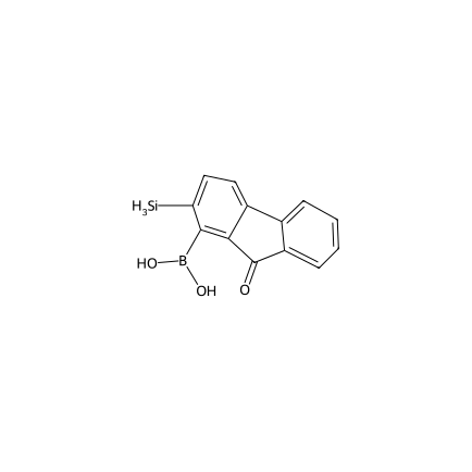 O=C1c2ccccc2-c2ccc([SiH3])c(B(O)O)c21